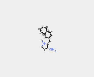 CN1CC[C@@H](N)[C@@H]1Cc1ccc2ccccc2c1